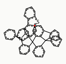 c1ccc(N(c2ccc3sc4ccccc4c3c2)c2ccccc2C2(c3ccccc3)c3ccccc3C3(c4ccccc4)c4ccccc4-c4cccc2c43)cc1